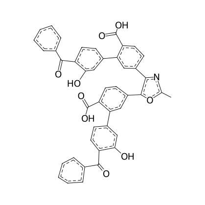 Cc1nc(-c2ccc(C(=O)O)c(-c3ccc(C(=O)c4ccccc4)c(O)c3)c2)c(-c2ccc(C(=O)O)c(-c3ccc(C(=O)c4ccccc4)c(O)c3)c2)o1